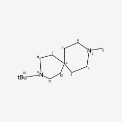 CN1CCC2(CC1)CCN(C(C)(C)C)CC2